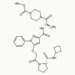 CCCCOC(=O)N1CCN(C(=O)[C@@H](NC(=O)c2cc(OCC(=O)N3CCC[C@H]3C(=O)NC3CCC3)n(-c3ccccc3)n2)[C@H](C)CC)CC1